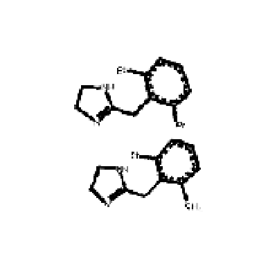 CCc1cccc(C(C)C)c1CC1=NCCN1.CCc1cccc(C)c1CC1=NCCN1